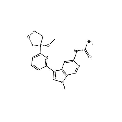 COC1(c2cccc(-c3cn(C)c4cnc(NC(N)=O)cc34)n2)CCOC1